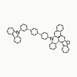 c1cc(-c2ccc(-c3ccc(N(c4ccc5ccccc5c4)c4ccccc4-c4cccc5oc6ccccc6c45)cc3)cc2)cc(-n2c3ccccc3c3ccccc32)c1